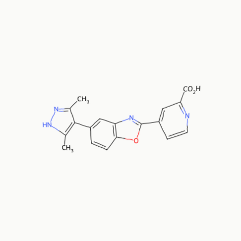 Cc1n[nH]c(C)c1-c1ccc2oc(-c3ccnc(C(=O)O)c3)nc2c1